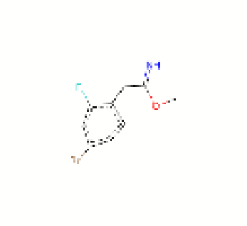 COC(=N)Cc1ccc(Br)cc1F